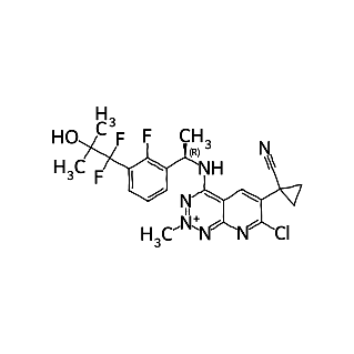 C[C@@H](Nc1n[n+](C)nc2nc(Cl)c(C3(C#N)CC3)cc12)c1cccc(C(F)(F)C(C)(C)O)c1F